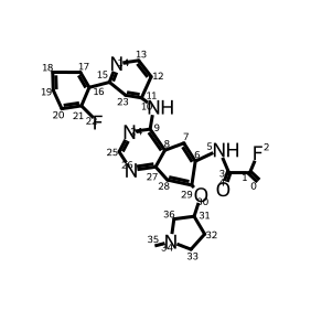 C=C(F)C(=O)Nc1cc2c(Nc3ccnc(-c4ccccc4F)c3)ncnc2cc1OC1CCN(C)C1